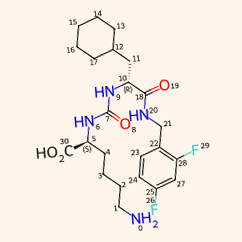 NCCCC[C@H](NC(=O)N[C@H](CC1CCCCC1)C(=O)NCc1ccc(F)cc1F)C(=O)O